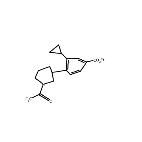 CCOC(=O)c1ccc(C2CCCN(C(=O)C(F)(F)F)C2)c(C2CC2)c1